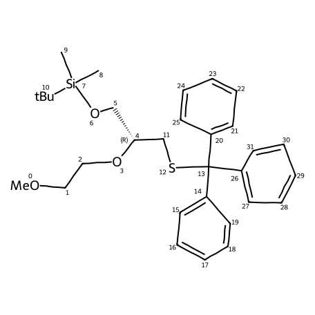 COCCO[C@H](CO[Si](C)(C)C(C)(C)C)CSC(c1ccccc1)(c1ccccc1)c1ccccc1